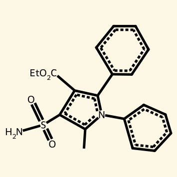 CCOC(=O)c1c(S(N)(=O)=O)c(C)n(-c2ccccc2)c1-c1ccccc1